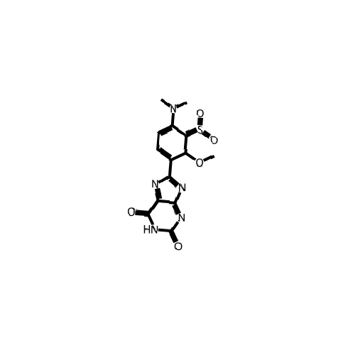 COC1C(C2=NC3=NC(=O)NC(=O)C3=N2)=CC=C(N(C)C)C1=S(=O)=O